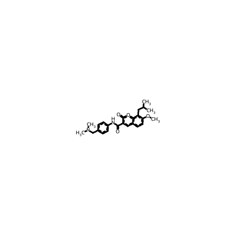 COc1ccc2cc(C(=O)Nc3ccc(CN(C)C)cc3)c(=O)oc2c1CC(C)C